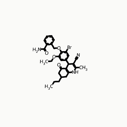 CCCC1CC(=O)C2=C(C1)NC(C)=C(C#N)C2c1cc(Br)c(OCc2ccccc2C(N)=O)c(OCC)c1